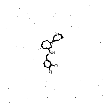 Clc1ccc(CNC2CC=CCC(c3cccnc3)C2)cc1Cl